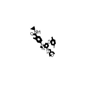 Cc1ccc(F)cc1Oc1cc(NCC2CCOCC2)c2ncn(-c3ccc(C(=O)NC4CC4)c(C)c3)c2c1